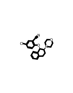 N#Cc1cc(Cl)ccc1O[C@H]1c2ccccc2CC[C@@H]1N1CCOCC1